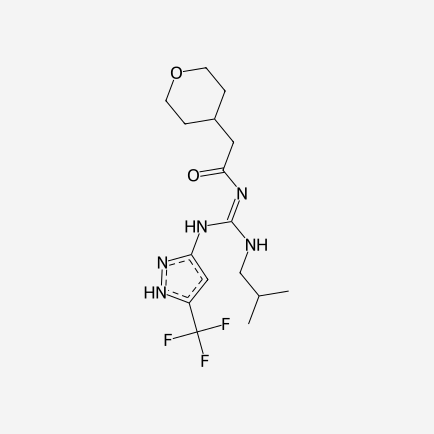 CC(C)CN/C(=N/C(=O)CC1CCOCC1)Nc1cc(C(F)(F)F)[nH]n1